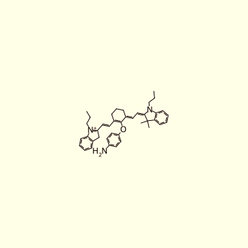 CCCN1/C(=C/C=C2\CCCC(/C=C/C3=[N+](CCC)c4ccccc4C3)=C2Oc2ccc(N)cc2)C(C)(C)c2ccccc21